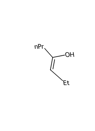 [CH2]CCC(O)=CCC